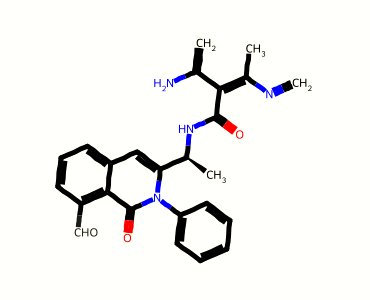 C=N/C(C)=C(/C(=C)N)C(=O)N[C@@H](C)c1cc2cccc(C=O)c2c(=O)n1-c1ccccc1